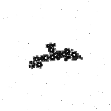 CC(C)c1ccccc1[C@@H]1CCCN1C1CC2(CCN(c3ccc(C(=O)NS(=O)(=O)c4cc5c(c([N+](=O)[O-])c4)S[C@@H](C[C@H]4CC[C@](C)(O)CC4)CO5)c(Oc4cnc5[nH]cc(F)c5c4)c3)CC2)C1